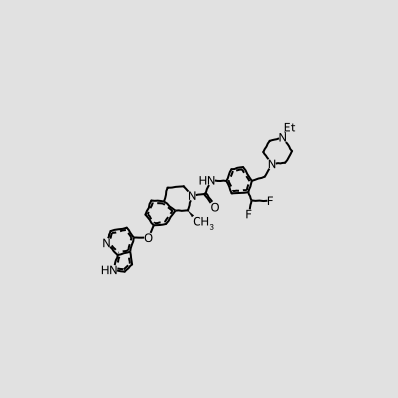 CCN1CCN(Cc2ccc(NC(=O)N3CCc4ccc(Oc5ccnc6[nH]ccc56)cc4[C@@H]3C)cc2C(F)F)CC1